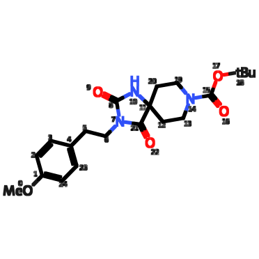 COc1ccc(CCN2C(=O)NC3(CCN(C(=O)OC(C)(C)C)CC3)C2=O)cc1